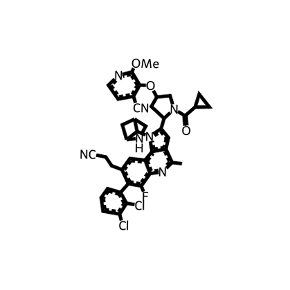 COc1nccc(C#N)c1OC1CC(c2cc3c(C)nc4c(F)c(-c5cccc(Cl)c5Cl)c(CCC#N)cc4c3n2C2C3CNC2C3)N(C(=O)C2CC2)C1